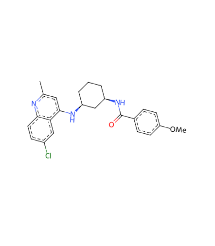 COc1ccc(C(=O)N[C@@H]2CCC[C@H](Nc3cc(C)nc4ccc(Cl)cc34)C2)cc1